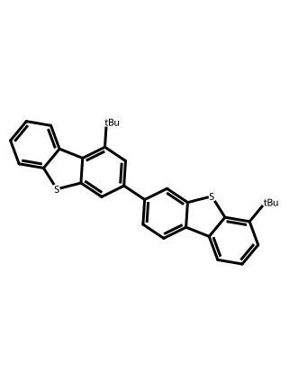 CC(C)(C)c1cccc2c1sc1cc(-c3cc(C(C)(C)C)c4c(c3)sc3ccccc34)ccc12